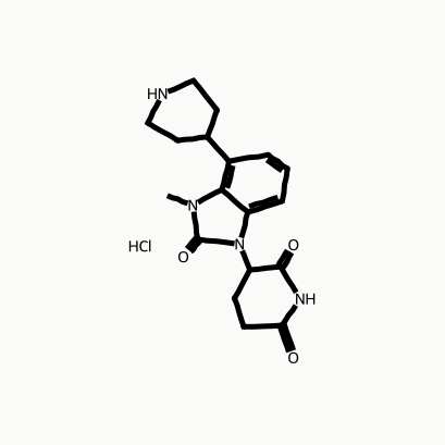 Cl.Cn1c(=O)n(C2CCC(=O)NC2=O)c2cccc(C3CCNCC3)c21